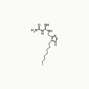 CCCCCCCCc1[nH]cnc1CNC(=N)NC(N)=O